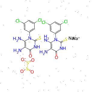 Nc1c(N)n(-c2cc(Cl)cc(Cl)c2)c(=S)[nH]c1=O.Nc1c(N)n(-c2cc(Cl)cc(Cl)c2)c(=S)[nH]c1=O.O=S([O-])S(=O)[O-].[Na+].[Na+]